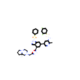 Cc1ncc(-c2cc(-c3nnc(CN4CCN5CCC[C@H]5C4)o3)c3cnn(S(=O)(=O)c4ccccc4)c3c2)cc1NS(=O)(=O)c1ccc(F)cc1F